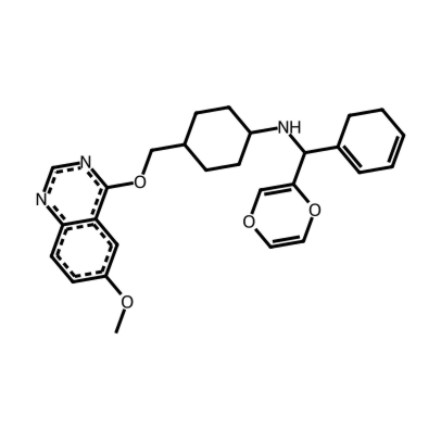 COc1ccc2ncnc(OCC3CCC(NC(C4=CC=CCC4)C4=COC=CO4)CC3)c2c1